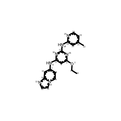 CCOc1cc(Nc2ccn3ccnc3c2)nc(Nc2cc(C)ccn2)n1